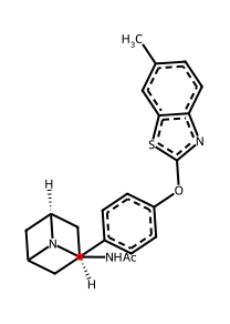 CC(=O)N[C@H]1CC2C[C@@H](C1)N2Cc1ccc(Oc2nc3ccc(C)cc3s2)cc1